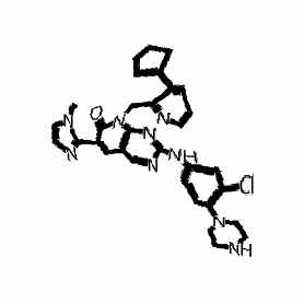 Cn1ccnc1-c1cc2cnc(Nc3ccc(N4CCNCC4)c(Cl)c3)nc2n(Cc2ncccc2C2=CCCC2)c1=O